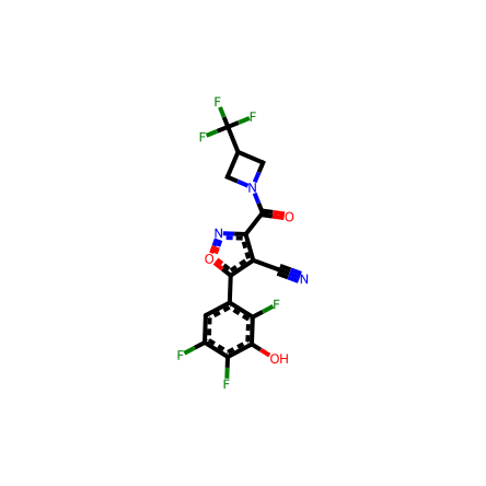 N#Cc1c(C(=O)N2CC(C(F)(F)F)C2)noc1-c1cc(F)c(F)c(O)c1F